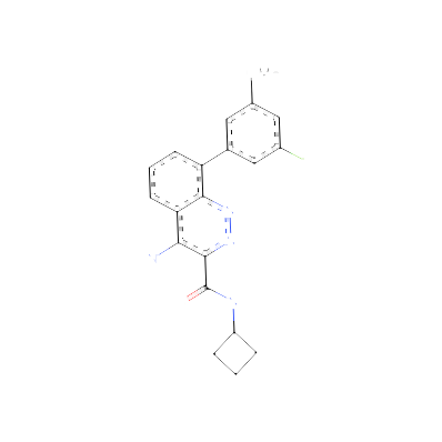 COc1cc(F)cc(-c2cccc3c(N)c(C(=O)NC4CCC4)nnc23)c1